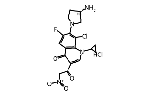 Cl.N[C@@H]1CCN(c2c(F)cc3c(=O)c(C(=O)C[N+](=O)[O-])cn(C4CC4)c3c2Cl)C1